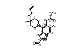 C=CCOC1(C)CCN(c2c(CC(=O)OC)c(C)cn3nc(C=O)cc23)CC1